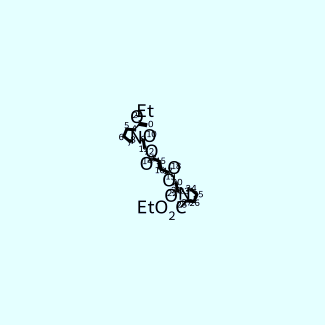 C=C(OCC)[C@@H]1CCCN1C(=O)COC(=O)/C=C/C(=O)OCC(=O)N1CCC[C@H]1C(=O)OCC